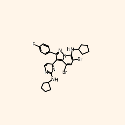 Fc1ccc(-c2nn3c(NC4CCCC4)c(Br)cc(Br)c3c2-c2ccnc(NC3CCCC3)n2)cc1